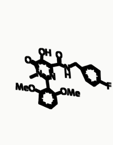 COc1cccc(OC)c1-c1nc(C(=O)NCc2ccc(F)cc2)c(O)c(=O)n1C